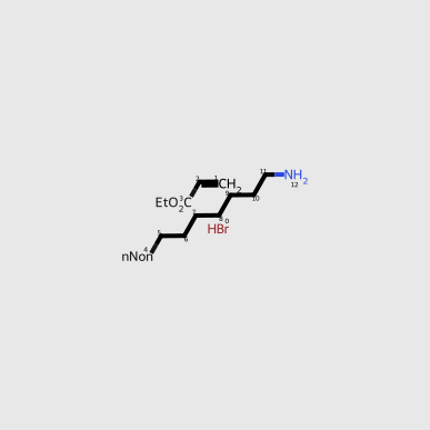 Br.C=CC(=O)OCC.CCCCCCCCCCCCCCCCN